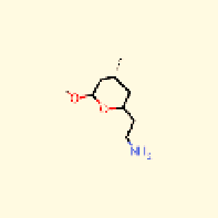 CO[C@H]1C[C@H](C)CC(CCN)O1